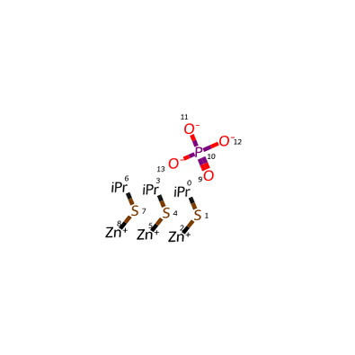 CC(C)[S][Zn+].CC(C)[S][Zn+].CC(C)[S][Zn+].O=P([O-])([O-])[O-]